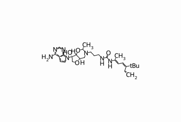 C=C/C(=C\C=C(/C)NC(=O)NCCCN1C[C@H]2OC[C@@](O)(n3ccc4c(N)ncnc43)[C@@H]2OC1C)C(C)(C)C